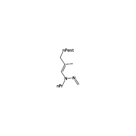 C=NN(/C=C(\C)CCCCCC)CCC